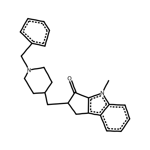 Cn1c2c(c3ccccc31)CC(CC1CCN(Cc3ccccc3)CC1)C2=O